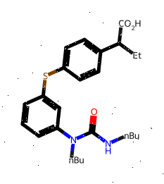 CCCCNC(=O)N(CCCC)c1cccc(Sc2ccc(C(CC)C(=O)O)cc2)c1